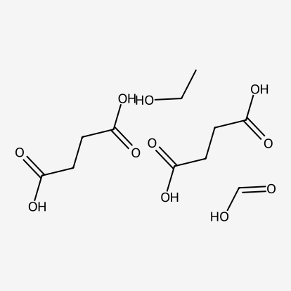 CCO.O=C(O)CCC(=O)O.O=C(O)CCC(=O)O.O=CO